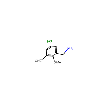 COc1c(C=O)cccc1CN.Cl